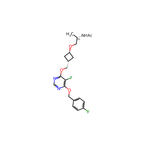 CC(=O)N[C@@H](C)CO[C@H]1C[C@H](COc2ncnc(OCc3ccc(F)cc3)c2F)C1